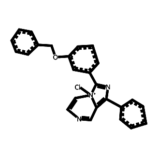 Cl[N+]12C=CN=CC1=C(c1ccccc1)N=C2c1cccc(OCc2ccccc2)c1